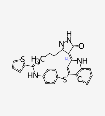 CCCC1=NNC(=O)/C1=C1/C=C(Sc2ccc(NC(=O)c3cccs3)cc2)c2ccccc2N1